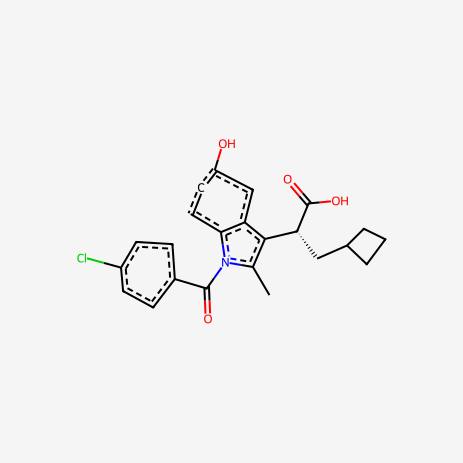 Cc1c([C@@H](CC2CCC2)C(=O)O)c2cc(O)ccc2n1C(=O)c1ccc(Cl)cc1